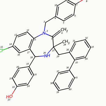 C=C1N(Cc2ccc(O)cc2)c2ccc(Cl)cc2C(c2ccc(O)cc2)NC1(C)Cc1ccccc1-c1ccccc1